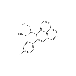 Cc1ccc(C2=Cc3cccc4cccc(c34)C2C(CO)CO)cc1